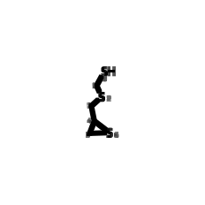 SCSCC1CS1